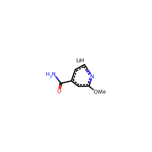 COc1cc(C(N)=O)ccn1.[LiH]